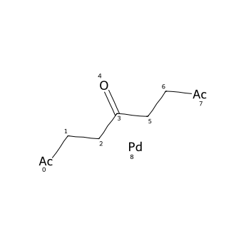 CC(=O)CCC(=O)CCC(C)=O.[Pd]